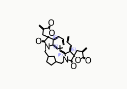 C=C/C=C1\C(=C/C)N(CC2CCC(CN3C(=O)C4(CC(=C)C(=O)O4)C(=C/C=C)/C3=C\C)C2)C(=O)C12CC(=C)C(=O)O2